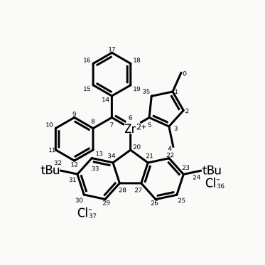 CC1=CC(C)=[C]([Zr+2](=[C](c2ccccc2)c2ccccc2)[CH]2c3cc(C(C)(C)C)ccc3-c3ccc(C(C)(C)C)cc32)C1.[Cl-].[Cl-]